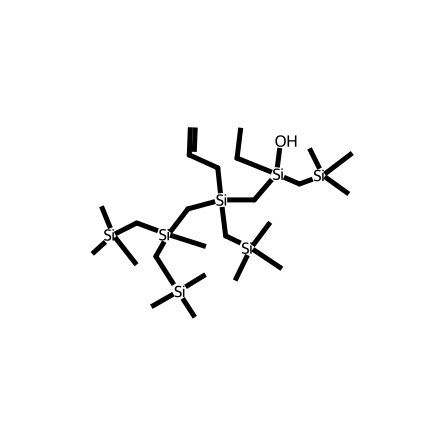 C=CC[Si](C[Si](C)(C)C)(C[Si](C)(C[Si](C)(C)C)C[Si](C)(C)C)C[Si](O)(CC)C[Si](C)(C)C